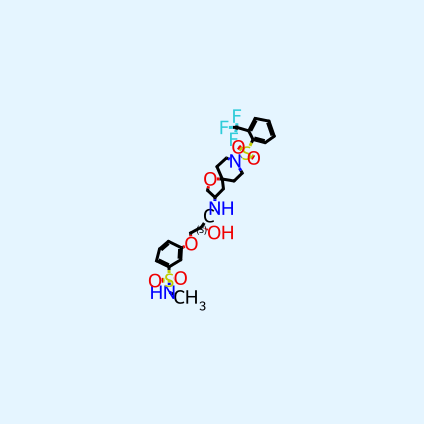 CNS(=O)(=O)c1cccc(OC[C@@H](O)CNC2COC3(CCN(S(=O)(=O)c4ccccc4C(F)(F)F)CC3)C2)c1